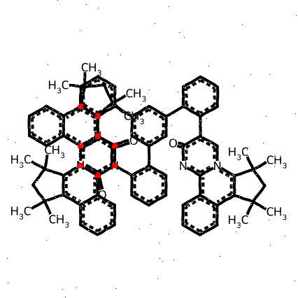 CC1(C)CC(C)(C)c2c1c1ccccc1c1nc(=O)c(-c3ccccc3-c3cc(-c4ccccc4-c4cn5c6c(c7ccccc7c5nc4=O)C(C)(C)CC6(C)C)cc(-c4ccccc4-c4cn5c6c(c7ccccc7c5nc4=O)C(C)(C)CC6(C)C)c3)cn21